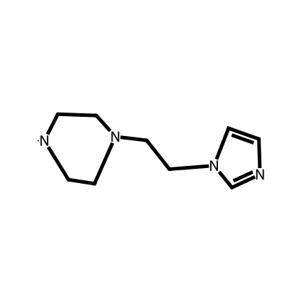 c1cn(CCN2CC[N]CC2)cn1